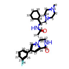 CN1CCN(C[C@@H](NC(=O)C[C@@H]2CNC(=O)c3cc(-c4cccc(F)c4)cn32)C2CCCCC2)CC1